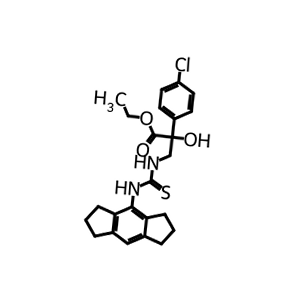 CCOC(=O)C(O)(CNC(=S)Nc1c2c(cc3c1CCC3)CCC2)c1ccc(Cl)cc1